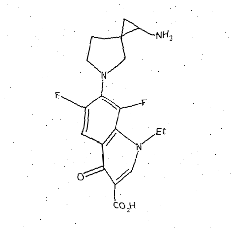 CCn1cc(C(=O)O)c(=O)c2cc(F)c(N3CCC4(CC4N)C3)c(F)c21